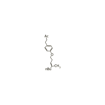 CCCCC(C)=CCCOc1ccc(CCC(C)=O)cc1